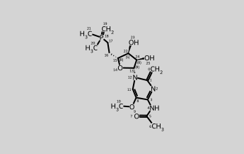 C=C1N=C(NC(C)=O)C(OC)=CN1[C@@H]1O[C@H](CCP(=C)(C)C)[C@@H](O)[C@H]1O